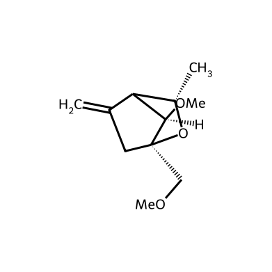 C=C1C[C@]2(COC)O[C@@H](C)C1[C@H]2OC